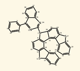 c1ccc(-c2nc(-n3c4ccc5sc6ccccc6c5c4c4c5c(ccc43)sc3ccccc35)nc3ccccc23)cc1